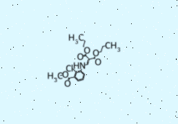 CCCOC(=O)C(=CNc1cccc(C(=O)OC)c1Cl)C(=O)OCCC